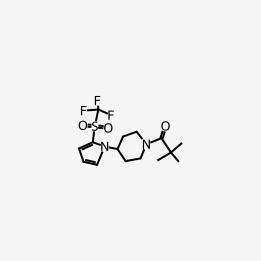 CC(C)(C)C(=O)N1CCC(n2cccc2S(=O)(=O)C(F)(F)F)CC1